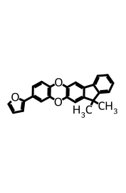 CC1(C)c2ccccc2-c2cc3c(cc21)Oc1cc(-c2ccco2)ccc1O3